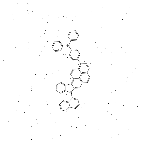 c1ccc(N(c2ccccc2)c2ccc(-c3ccc4ccc5cc6c(c7ccc3c4c57)c3ccccc3n6-c3cccc4ccccc34)cc2)cc1